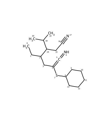 CCC(CC(=C=N)SC1CCCCC1)C(CC#N)C(C)C